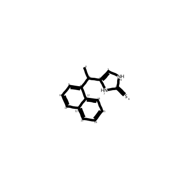 CC(c1c[nH]c(=S)[nH]1)c1cccc2ccccc12